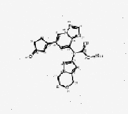 CC(C)(C)OC(=O)N(c1cc2n(n1)CCOC2)c1cc(C2=CC(=O)CC2)cn2ncnc12